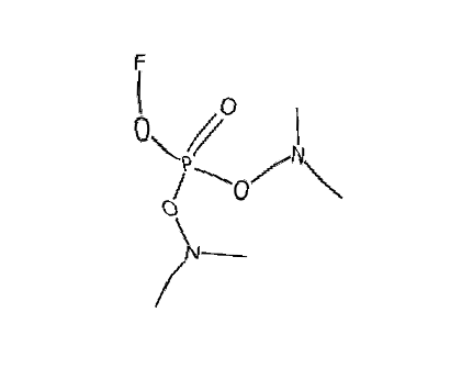 CN(C)OP(=O)(OF)ON(C)C